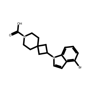 O=C(O)N1CCC2(CC1)CC(n1ccc3c(Br)cccc31)C2